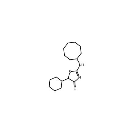 O=C1N=C(NC2CCCCCCC2)SC1C1CCCCC1